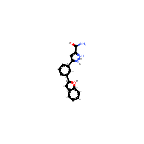 NC(=O)c1cc(-c2cccc(-c3cc4ccccc4o3)c2)n[nH]1